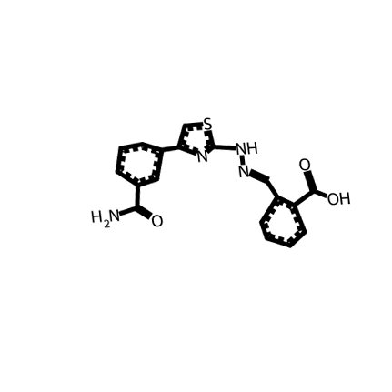 NC(=O)c1cccc(-c2csc(N/N=C/c3ccccc3C(=O)O)n2)c1